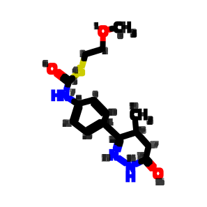 COCCSC(=O)Nc1ccc(C2=NNC(=O)CC2C)cc1